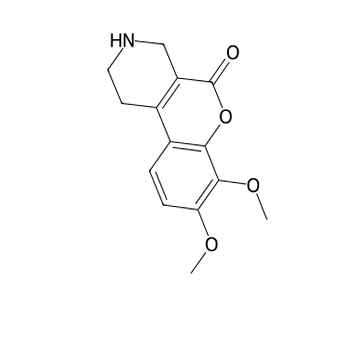 COc1ccc2c3c(c(=O)oc2c1OC)CNCC3